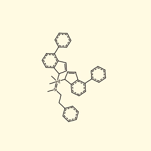 C[Si](CCc1ccccc1)=[Hf]([CH3])([CH3])([CH]1C=Cc2c(-c3ccccc3)cccc21)[CH]1C=Cc2c(-c3ccccc3)cccc21